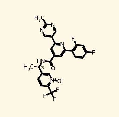 Cc1ncc(-c2cc(C(=O)N[C@H](C)c3ccc(C(F)(F)F)[n+]([O-])c3)cc(-c3ccc(F)cc3F)n2)cn1